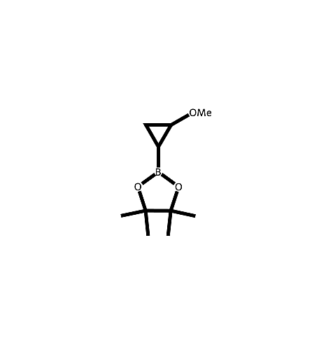 COC1CC1B1OC(C)(C)C(C)(C)O1